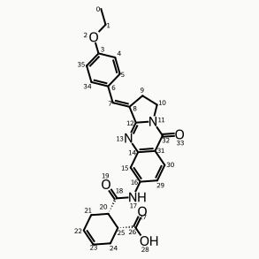 CCOc1ccc(C=C2CCn3c2nc2cc(NC(=O)[C@H]4CC=CC[C@H]4C(=O)O)ccc2c3=O)cc1